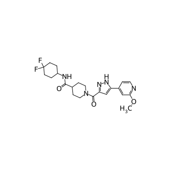 COc1cc(-c2cc(C(=O)N3CCC(C(=O)NC4CCC(F)(F)CC4)CC3)n[nH]2)ccn1